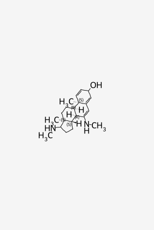 CNC1=CC2=CC(O)C=C[C@]2(C)[C@@H]2CC[C@]3(C)C(NC)CC[C@H]3[C@H]12